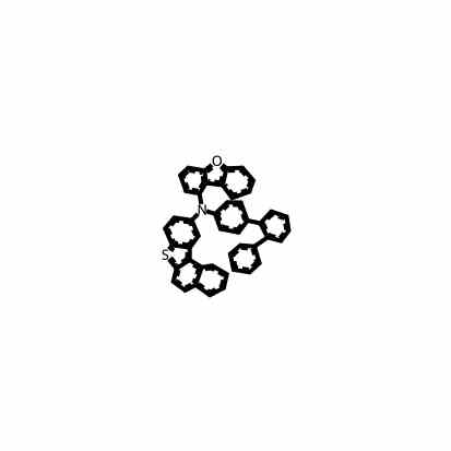 c1ccc(-c2ccccc2-c2ccc(N(c3ccc4sc5ccc6ccccc6c5c4c3)c3cccc4oc5ccccc5c34)cc2)cc1